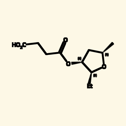 CC[C@H]1O[C@@H](C)C[C@H]1OC(=O)CCC(=O)O